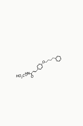 O=C(O)CNC(=O)C=Cc1ccc(OCCCCc2ccccc2)cc1